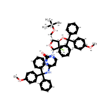 CCOc1ccc(C(Nc2ccn([C@@H]3O[C@H](CO[Si](C)(C)C(C)(C)C)[C@@H](OC(c4ccccc4)(c4ccccc4)c4ccc(OCC)cc4)[C@H]3F)c(=O)n2)(c2ccccc2)c2ccccc2)cc1